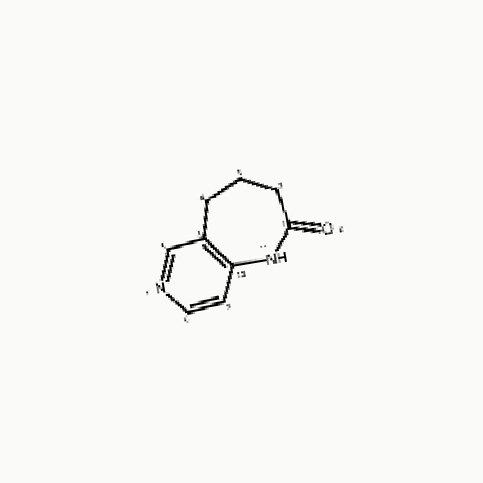 O=C1CCCc2cnccc2N1